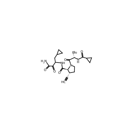 C#C[C@H]1CCN(C(=O)[C@@H](NC(=O)C2CC2)C(C)(C)C)[C@@H]1C(=O)NC(CC1CC1)C(=O)C(N)=O